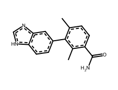 Cc1ccc(C(N)=O)c(C)c1-c1ccc2[nH]cnc2c1